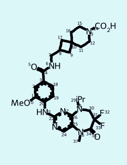 COc1cc(C(=O)NCC2CC3(CCN(C(=O)O)CC3)C2)ccc1Nc1ncc2c(n1)N(C(C)C)CC(F)(F)C(=O)N2C